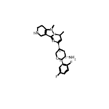 CC1C=C([C@@H]2CO[C@H](c3cc(F)ccc3F)[C@@H](N)C2)N=C2C3=C(CCNC3)N(C)N21